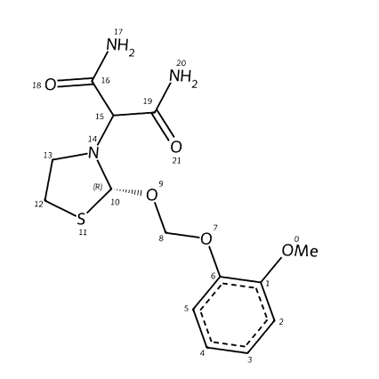 COc1ccccc1OCO[C@@H]1SCCN1C(C(N)=O)C(N)=O